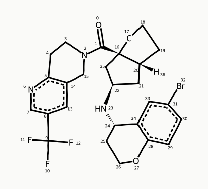 O=C(N1CCc2ncc(C(F)(F)F)cc2C1)[C@@]12CCC[C@@H]1C[C@@H](N[C@H]1CCOc3ccc(Br)cc31)C2